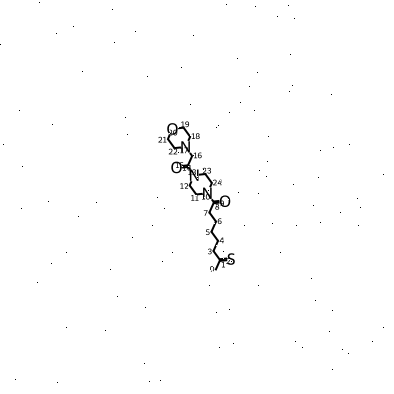 CC(=S)CCCCCC(=O)N1CCN(C(=O)CN2CCOCC2)CC1